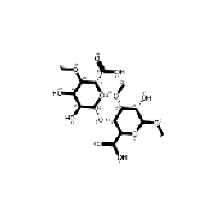 COC1OC(C(=O)O)[C@H](O[C@H]2O[C@@H](C(=O)O)C(OC)C(O)C2O)[C@H](OC)[C@@H]1O